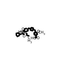 CCCCN1C(=O)[C@@H](CC2(O)CCCCC2)NC(=O)C12CCN(Cc1ccc(Cc3ccc(C(=O)O)cc3OC)cc1)CC2